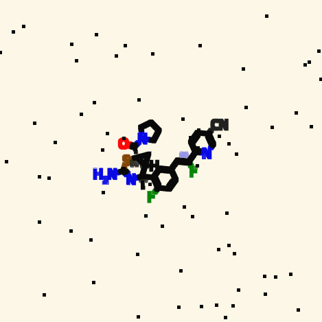 C[C@]1(c2cc(/C=C(\F)c3ccc(C#N)cn3)ccc2F)N=C(N)S[C@@]2(C(=O)N3CCCC3)C[C@H]21